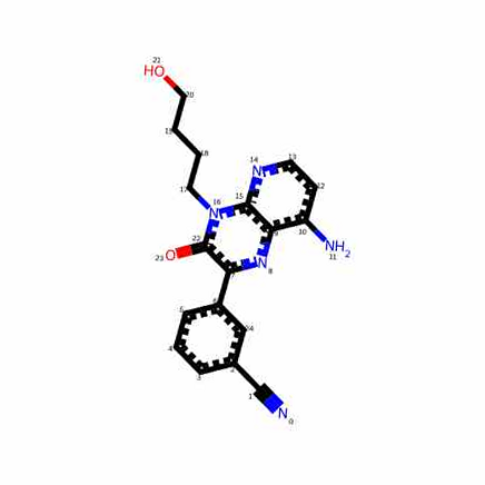 N#Cc1cccc(-c2nc3c(N)ccnc3n(CCCCO)c2=O)c1